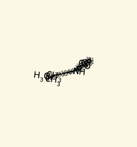 C[Si](C)(C)CCCCCCCCCCCCCCNc1ccc(C(=O)CS(=O)(=O)c2ccccc2)cc1